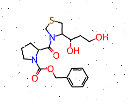 O=C(OCc1ccccc1)N1CCCC1C(=O)N1CSCC1C(O)CCO